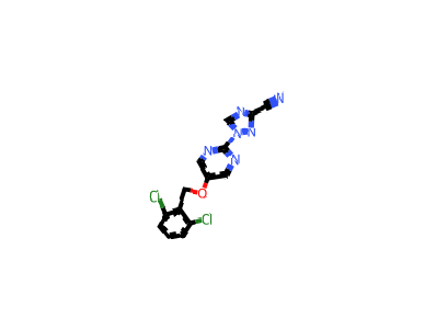 N#Cc1ncn(-c2ncc(OCc3c(Cl)cccc3Cl)cn2)n1